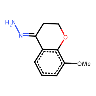 COc1cccc2c1OCC/C2=N\N